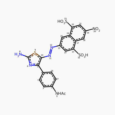 CC(=O)Nc1ccc(-c2nc(N)sc2/N=N/c2cc(S(=O)(=O)O)c3cc([N+](=O)[O-])cc(S(=O)(=O)O)c3c2)cc1